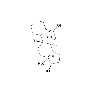 C[C@]12CC[C@H]3[C@@H](CC(O)=C4CCCC[C@@]43C)[C@@H]1CC[C@H]2O